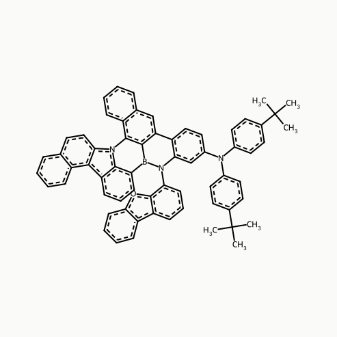 CC(C)(C)c1ccc(N(c2ccc(C(C)(C)C)cc2)c2ccc3c(c2)N(c2cccc4c2oc2ccccc24)B2c4c-3cc3ccccc3c4-n3c4ccc5ccccc5c4c4cccc2c43)cc1